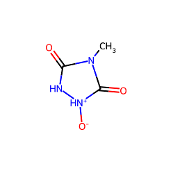 CN1C(=O)N[NH+]([O-])C1=O